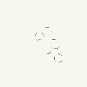 O=C(O)CN(C(=O)CN1C(=O)c2ccccc2C1=O)c1cccc(OC(F)(F)F)c1